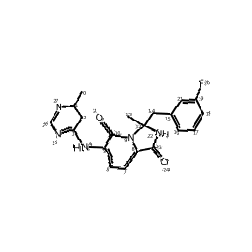 CC1CC(Nc2ccc3n(c2=O)C(C)(Cc2cccc(F)c2)NC3=O)=NC=N1